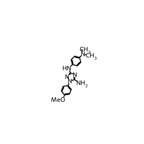 COc1ccc(-n2nc(Nc3ccc(N(C)C)cc3)nc2N)cc1